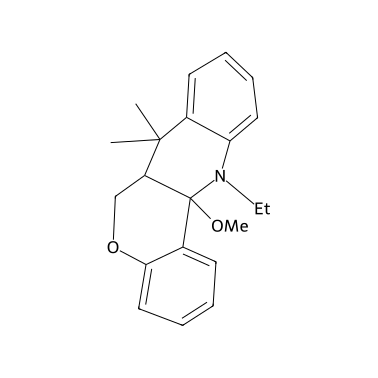 CCN1c2ccccc2C(C)(C)C2COc3ccccc3C21OC